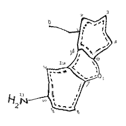 Cc1cccc2oc3ccc(N)cc3c12